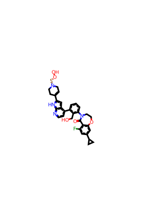 O=C1c2c(F)cc(C3CC3)cc2OCCN1c1cccc(-c2ccnc3[nH]c(C4=CCN(SOO)CC4)cc23)c1CO